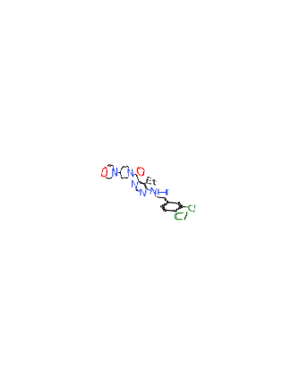 CCc1c(NCCc2ccc(Cl)c(Cl)c2)ncnc1C(=O)N1CCC(N2CCOCC2)CC1